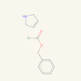 C1=CCNC1.O=C(Cl)OCc1ccccc1